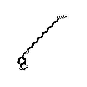 COCCCCCCCCCCCCOCc1ccc2c(c1)OCO2